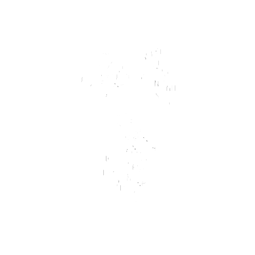 C#C[C@@]1(O)[C@H](O)C(COP(=O)(N[C@@H](CCCc2ccc(OP(=O)(N[C@@H](CC)C(=O)OC(C)C)OC[C@H]3O[C@@H](n4ccc(=O)[nH]c4=O)[C@@](O)(C#C)[C@@H]3O)cc2)C(=O)OC(C)C)Oc2ccccc2)O[C@H]1n1ccc(=O)[nH]c1=O